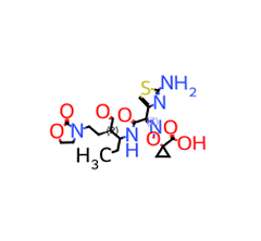 CCC(NC(=O)/C(=N\OC1(C(=O)O)CC1)c1csc(N)n1)[C@H](C=O)CCN1CCOC1=O